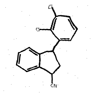 N#CC1CC(c2cccc(Cl)c2Cl)c2ccccc21